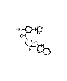 O=C(c1cc(-n2cccn2)ccc1O)N1CCC(F)(F)C(Oc2ccc3ccccc3n2)C1